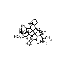 CC(N)C(=O)N(C(=O)C(C)N)C(C(=O)O)(C(=O)C(N)CC(=O)O)C(CCCN)(C(=O)C1CCCN1)C(=O)C(N)C(C)C